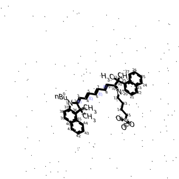 CCCCN1/C(=C/C=C/C=C/C=C/C2=[N+](CCCCS(=O)(=O)[O-])c3ccc4ccccc4c3C2(C)C)C(C)(C)c2c1ccc1ccccc21